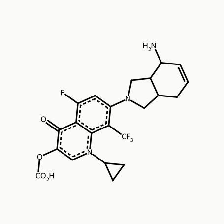 NC1C=CCC2CN(c3cc(F)c4c(=O)c(OC(=O)O)cn(C5CC5)c4c3C(F)(F)F)CC12